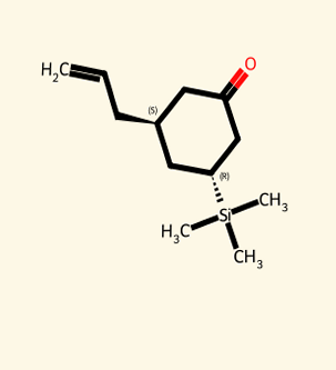 C=CC[C@H]1CC(=O)C[C@H]([Si](C)(C)C)C1